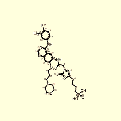 O=C(Cn1nc(SCCCP(=O)(O)O)sc1=S)Nc1cc2c(Nc3ccc(F)c(Cl)c3)ncnc2cc1OCCCN1CCOCC1